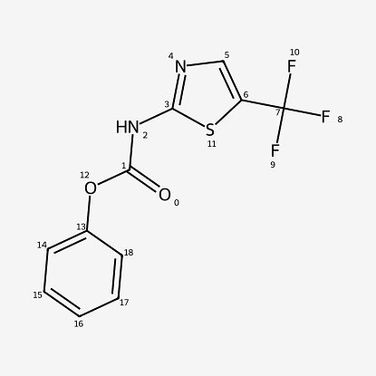 O=C(Nc1ncc(C(F)(F)F)s1)Oc1ccccc1